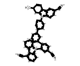 CC1C=Cc2c(n(-c3ccc(-c4cccc(-c5ccc(C#N)cc5-n5c6ccccc6c6c(C#N)cccc65)c4)cc3)c3ccc(C#N)cc23)C1